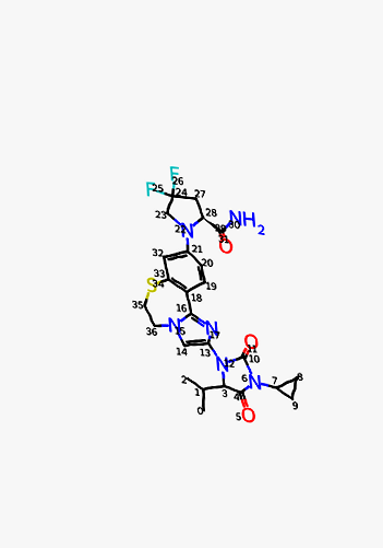 CC(C)C1C(=O)N(C2CC2)C(=O)N1c1cn2c(n1)-c1ccc(N3CC(F)(F)C[C@H]3C(N)=O)cc1SCC2